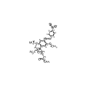 COc1cc2c(cc1N=Nc1ccc([N+](=O)[O-])cc1)C(C)CC(C)(C)N2CCCC(=O)O